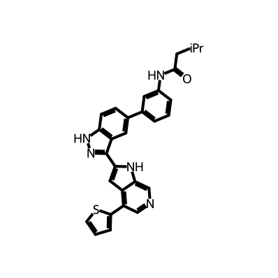 CC(C)CC(=O)Nc1cccc(-c2ccc3[nH]nc(-c4cc5c(-c6cccs6)cncc5[nH]4)c3c2)c1